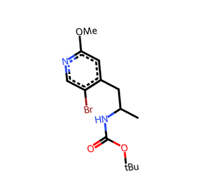 COc1cc(CC(C)NC(=O)OC(C)(C)C)c(Br)cn1